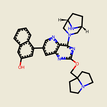 Oc1cc(-c2cnc3c(N4C[C@H]5CC[C@@H](C4)N5)nc(OCC45CCCN4CCC5)nc3c2)c2ccccc2c1